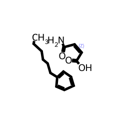 CCCCCCc1ccccc1.NC(=O)/C=C\C(=O)O